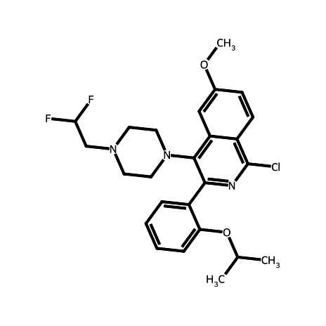 COc1ccc2c(Cl)nc(-c3ccccc3OC(C)C)c(N3CCN(CC(F)F)CC3)c2c1